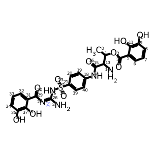 CC(OC(=O)c1cccc(O)c1O)C(N)C(=O)Nc1ccc(S(=O)(=O)N/C(N)=N\C(=O)c2cccc(O)c2O)cc1